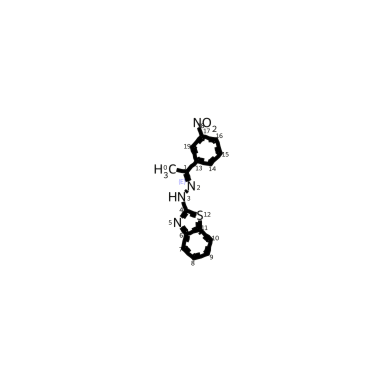 C/C(=N\Nc1nc2ccccc2s1)c1cccc([N+](=O)[O-])c1